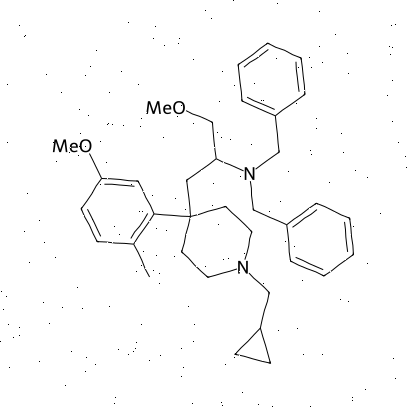 COCC(CC1(c2cc(OC)ccc2C)CCN(CC2CC2)CC1)N(Cc1ccccc1)Cc1ccccc1